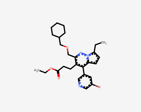 CCOC(=O)CCc1c(COCC2CCCCC2)nn2c(CC)ccc2c1-c1cncc(Br)c1